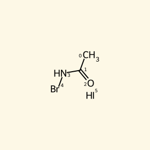 CC(=O)NBr.I